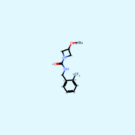 CC(C)(C)OC1CN(C(=O)NCc2cc[c]cc2C(F)(F)F)C1